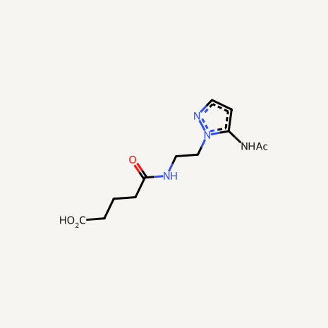 CC(=O)Nc1ccnn1CCNC(=O)CCCC(=O)O